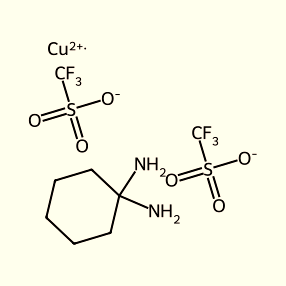 NC1(N)CCCCC1.O=S(=O)([O-])C(F)(F)F.O=S(=O)([O-])C(F)(F)F.[Cu+2]